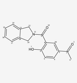 CC(=O)c1ccc(O)c(C(=O)N2Cc3ccccc3C2)c1